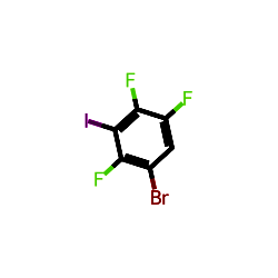 Fc1cc(Br)c(F)c(I)c1F